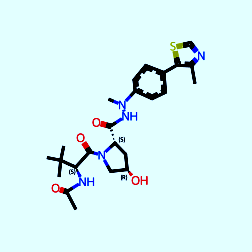 CC(=O)N[C@H](C(=O)N1C[C@H](O)C[C@H]1C(=O)NN(C)c1ccc(-c2scnc2C)cc1)C(C)(C)C